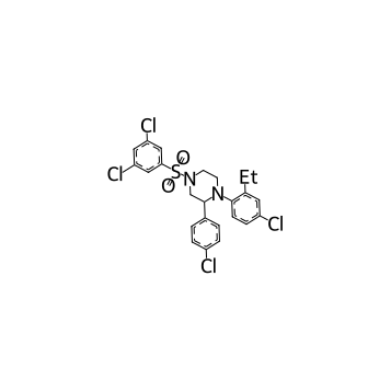 CCc1cc(Cl)ccc1N1CCN(S(=O)(=O)c2cc(Cl)cc(Cl)c2)CC1c1ccc(Cl)cc1